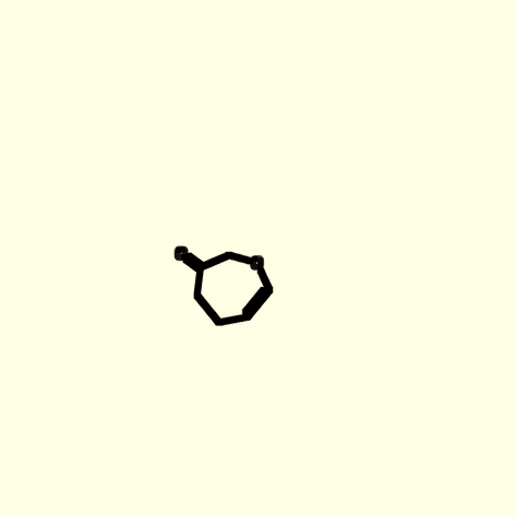 O=C1CCC=COC1